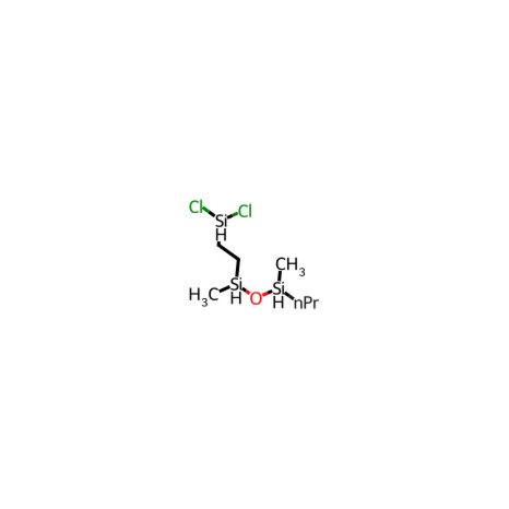 CCC[SiH](C)O[SiH](C)CC[SiH](Cl)Cl